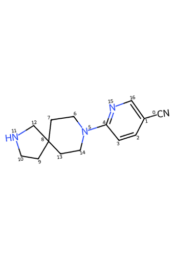 N#Cc1ccc(N2CCC3(CCNC3)CC2)nc1